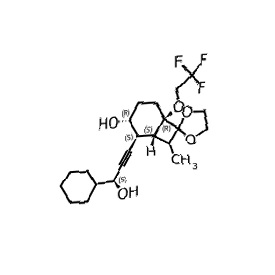 CC1[C@@H]2[C@@H](C#C[C@@H](O)C3CCCCC3)[C@H](O)CC[C@]2(OCC(F)(F)F)C12OCCO2